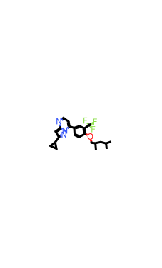 CC(C)CC(C)COc1ccc(-c2ccnc3cc(C4CC4)nn23)cc1C(F)(F)F